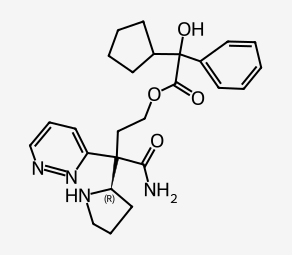 NC(=O)C(CCOC(=O)C(O)(c1ccccc1)C1CCCC1)(c1cccnn1)[C@H]1CCCN1